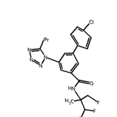 CC(C)c1nnnn1-c1cc(C(=O)NC(C)(CF)C(F)F)cc(-c2ccc(Cl)cc2)c1